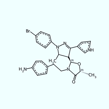 CC1C([C@H]2O[C@H](C)C(=O)N2CCc2ccc(N)cc2)C(c2cc[nH]c2)=NN1c1ccc(Br)cc1